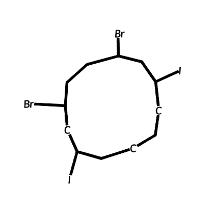 BrC1CCC(Br)CC(I)CCCCC(I)C1